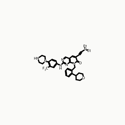 CCN(C#Cc1cc2cnc(Nc3ccc(N4CCNCC4)c(C(F)(F)F)c3)nc2n(Cc2ccccc2C2CCOCC2)c1=O)CC